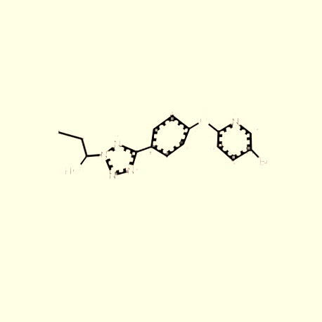 CCC(O)n1nnc(-c2ccc(Oc3ccc(Br)cn3)cc2)n1